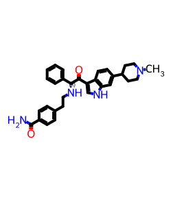 CN1CCC(c2ccc3c(C(=O)[C@H](NCCc4ccc(C(N)=O)cc4)c4ccccc4)c[nH]c3c2)CC1